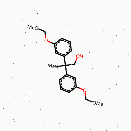 CNC(CO)(c1cccc(OCOC)c1)c1cccc(OCOC)c1